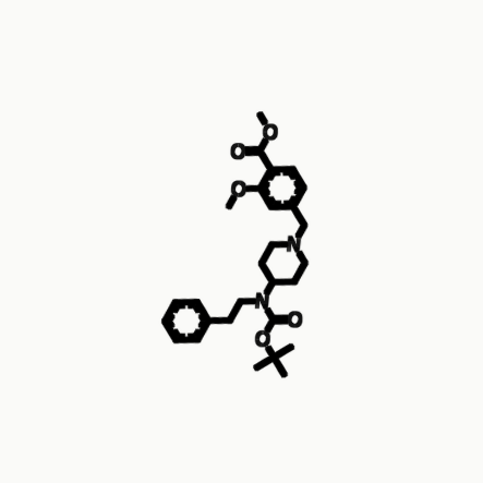 COC(=O)c1ccc(CN2CCC(N(CCc3ccccc3)C(=O)OC(C)(C)C)CC2)cc1OC